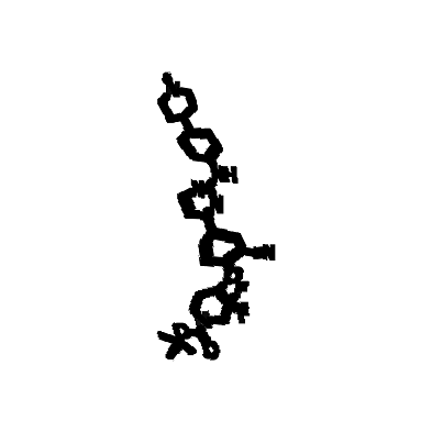 CN1CCC(c2ccc(Nc3nccc(-c4ccc(OC5CCN(C(=O)OC(C)(C)C)CC5(F)F)c(C#N)c4)n3)cc2)CC1